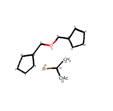 C1CCC(COCC2CCCC2)C1.CC(=O)OC(C)Br